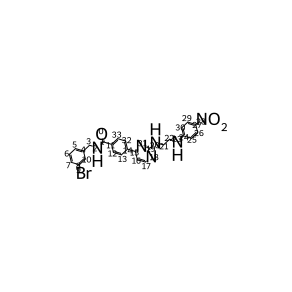 O=C(NCc1cccc(Br)c1)c1ccc(-c2ccnc(NCCNc3ccc([N+](=O)[O-])cc3)n2)cc1